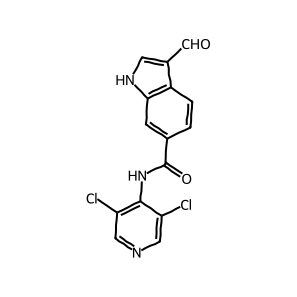 O=Cc1c[nH]c2cc(C(=O)Nc3c(Cl)cncc3Cl)ccc12